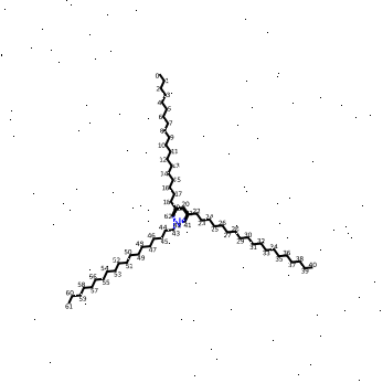 CCCCCCCCCCCCCCCCCCCc1cc(CCCCCCCCCCCCCCCCCCC)c[n+](CCCCCCCCCCCCCCCCCCC)c1